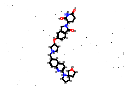 O=C1CCC(N2Cc3cc(OC4CCN(Cc5ccc6nc(N7CCCC78CCOC8)ccc6c5)C4)ccc3C2=O)C(=O)N1